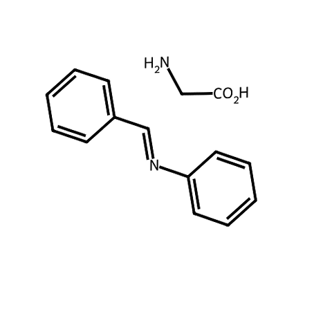 C(=Nc1ccccc1)c1ccccc1.NCC(=O)O